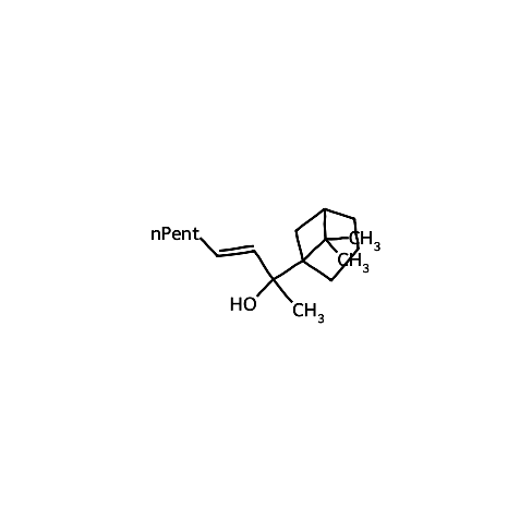 CCCCCC=CC(C)(O)C12CCCC(C1)C2(C)C